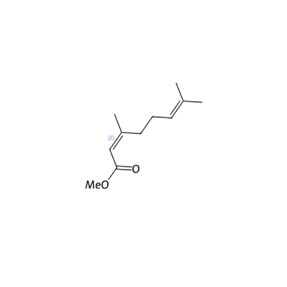 COC(=O)/C=C(/C)CCC=C(C)C